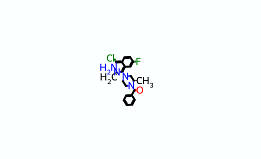 C=N/C(=c1/cc(F)cc/c1=C(/N)Cl)N1CCN(C(=O)c2ccccc2)[C@@H](C)C1